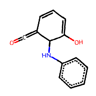 O=C=C1C=CC=C(O)C1Nc1ccccc1